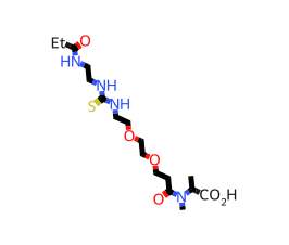 CCC(=O)NCCNC(=S)NCCOCCOCCC(=O)N(C)C(C)C(=O)O